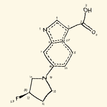 O=C(O)c1cnc2cc(N3CC[C@@H](F)C3)ccn12